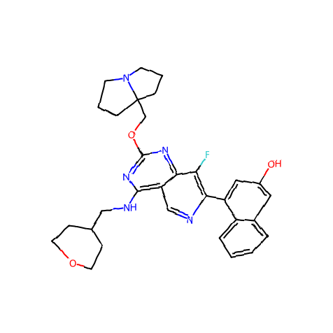 Oc1cc(-c2ncc3c(NCC4CCOCC4)nc(OCC45CCCN4CCC5)nc3c2F)c2ccccc2c1